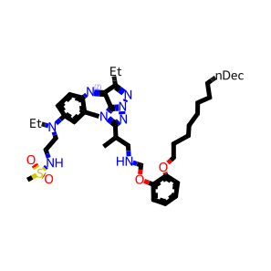 CCCCCCCCCCCCCCCCCCOc1ccccc1OCNCC(C)c1nc2n(n1)N=C(CC)/C2=N/c1ccc(N(CC)CCNS(C)(=O)=O)cc1C